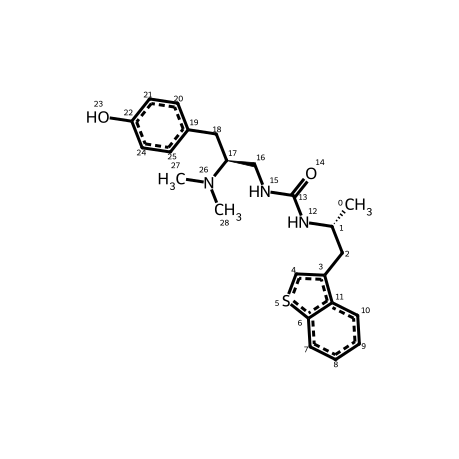 C[C@H](Cc1csc2ccccc12)NC(=O)NC[C@H](Cc1ccc(O)cc1)N(C)C